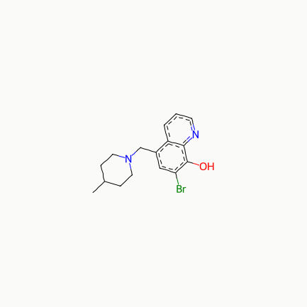 CC1CCN(Cc2cc(Br)c(O)c3ncccc23)CC1